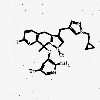 CCn1cc(Cc2cnn(CC3CC3)c2)c(Cc2ccc(F)cc2C(C)(C)Oc2cc(Br)cnc2N)n1